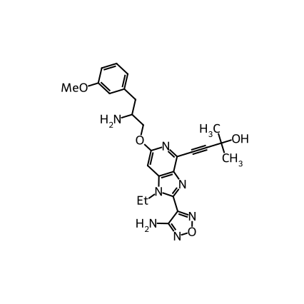 CCn1c(-c2nonc2N)nc2c(C#CC(C)(C)O)nc(OCC(N)Cc3cccc(OC)c3)cc21